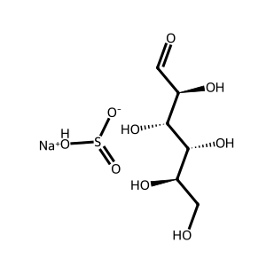 O=C[C@@H](O)[C@@H](O)[C@H](O)[C@H](O)CO.O=S([O-])O.[Na+]